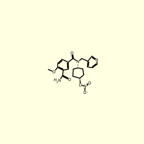 COc1ccc(C(=O)N(Cc2cccnc2)[C@H]2CC[C@H](O[N+](=O)[O-])CC2)cc1C(N)=O